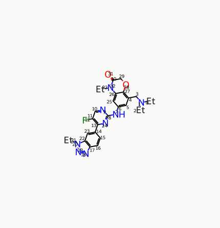 CCN(CC)Cc1cc(Nc2ncc(F)c(-c3ccc4nnn(CC)c4c3)n2)cc2c1OCC(=O)N2CC